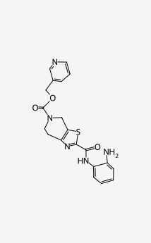 Nc1ccccc1NC(=O)c1nc2c(s1)CN(C(=O)OCc1cccnc1)CC2